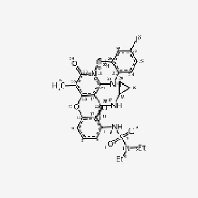 CCN(CC)S(=O)(=O)Nc1cccc(Oc2c(C(=O)NC3CC3)c(Nc3ccc(I)cc3F)n(C)c(=O)c2C)c1Cl